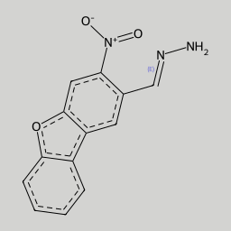 N/N=C/c1cc2c(cc1[N+](=O)[O-])oc1ccccc12